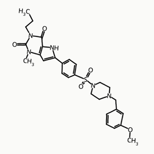 CCCn1c(=O)c2[nH]c(-c3ccc(S(=O)(=O)N4CCN(Cc5cccc(OC)c5)CC4)cc3)cc2n(C)c1=O